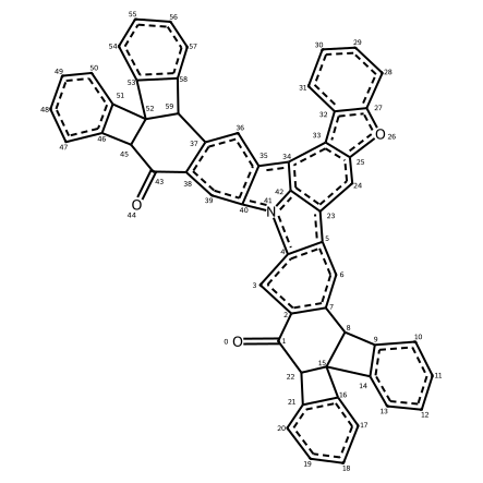 O=C1c2cc3c(cc2C2c4ccccc4C24c2ccccc2C14)c1cc2oc4ccccc4c2c2c4cc5c(cc4n3c12)C(=O)C1c2ccccc2C12c1ccccc1C52